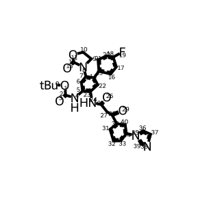 CC(C)(C)OC(=O)Nc1cc(N2CCOC2=O)c(-c2ccc(F)cc2)cc1NC(=O)CC(=O)c1cccc(-n2ccnc2)c1